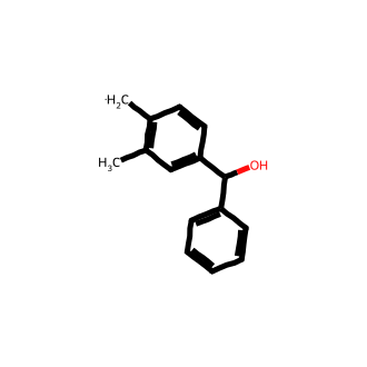 [CH2]c1ccc(C(O)c2ccccc2)cc1C